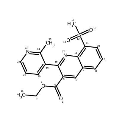 CCOC(=O)c1cc2cccc(S(C)(=O)=O)c2nc1-c1cccnc1C